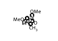 CCN(c1ccccc1C(=O)OC)c1cc(C)cc2c(=O)cc(N3CCC(OC)CC3)oc12